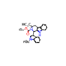 CCCCn1cc(C2c3[nH]c4ccccc4c3C[C@H](C(=O)O)N2C(=O)OC(C)(C)C)c2ccccc21